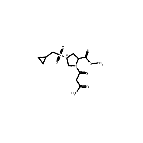 COC(=O)C1C[C@@H](S(=O)(=O)CC2CC2)CN1C(=S)CC(C)=O